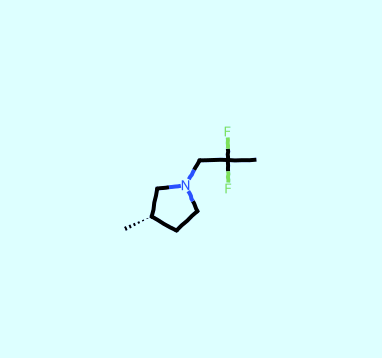 C[C@H]1CCN(CC(C)(F)F)C1